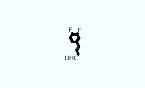 O=[C]C/C=C/c1ccc(F)c(F)c1